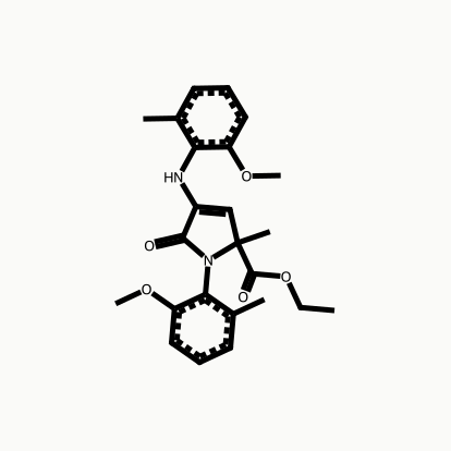 CCOC(=O)C1(C)C=C(Nc2c(C)cccc2OC)C(=O)N1c1c(C)cccc1OC